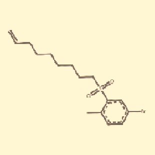 C=CCCCCCCCS(=O)(=O)c1cc(Br)ccc1C